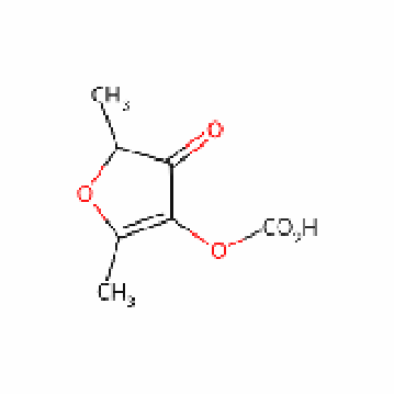 CC1=C(OC(=O)O)C(=O)C(C)O1